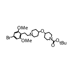 COc1cc(Br)cc(OC)c1CCN1CCC(OC2CCN(C(=O)OC(C)(C)C)CC2)CC1